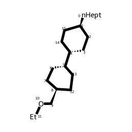 CCCCCCC[C@H]1CC[C@H]([C@H]2CC[C@H](COCC)CC2)CC1